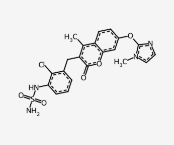 Cc1c(Cc2cccc(NS(N)(=O)=O)c2Cl)c(=O)oc2cc(Oc3nccn3C)ccc12